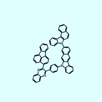 c1ccc2c(c1)-c1cccc3c(-c4nc5ccccc5nc4-c4ccc(-n5c6ccccc6c6cc7ccc(-n8c9ccccc9c9c%10ccccc%10ccc98)cc7cc65)cc4)ccc-2c13